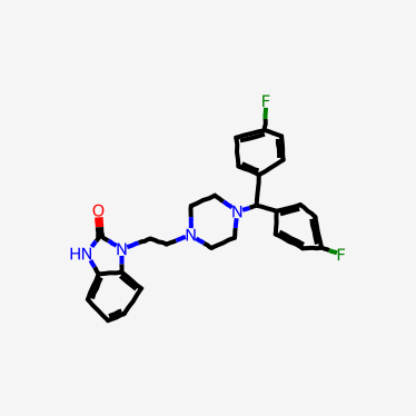 O=c1[nH]c2ccccc2n1CCN1CCN(C(c2ccc(F)cc2)c2ccc(F)cc2)CC1